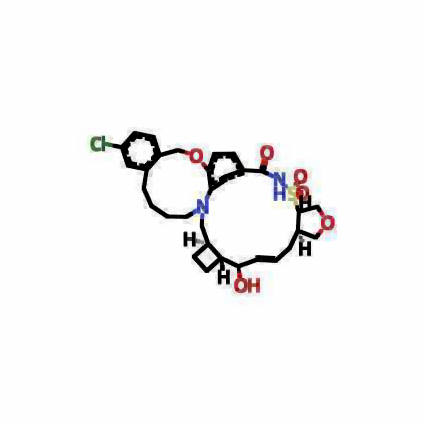 O=C1NS(=O)(=O)[C@@H]2COC[C@H]2C/C=C/[C@@H](O)[C@@H]2CC[C@H]2CN2CCCCc3cc(Cl)ccc3COc3ccc1cc32